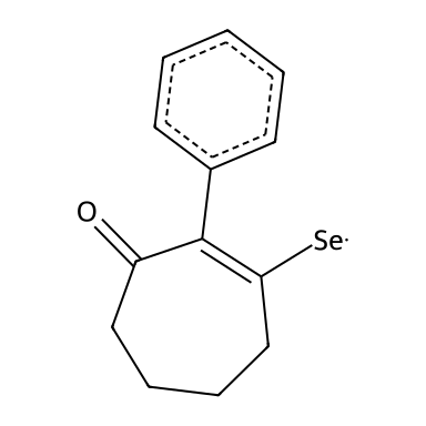 O=C1CCCCC([Se])=C1c1ccccc1